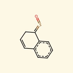 O=S=C1CC=Cc2ccccc21